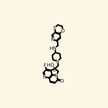 O=c1ccc2ncc(F)c3c2n1C[C@@]3(O)CN1CCC(NCc2cc3c(cn2)SCCO3)CC1